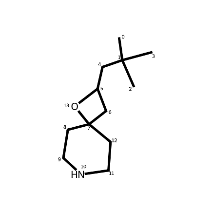 CC(C)(C)CC1CC2(CCNCC2)O1